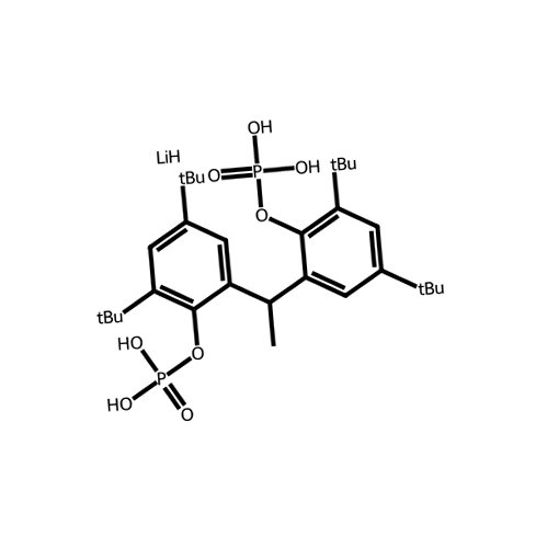 CC(c1cc(C(C)(C)C)cc(C(C)(C)C)c1OP(=O)(O)O)c1cc(C(C)(C)C)cc(C(C)(C)C)c1OP(=O)(O)O.[LiH]